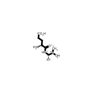 CC[C@H](NC(=O)[C@@H](N)CCC(=O)O)B(C)O